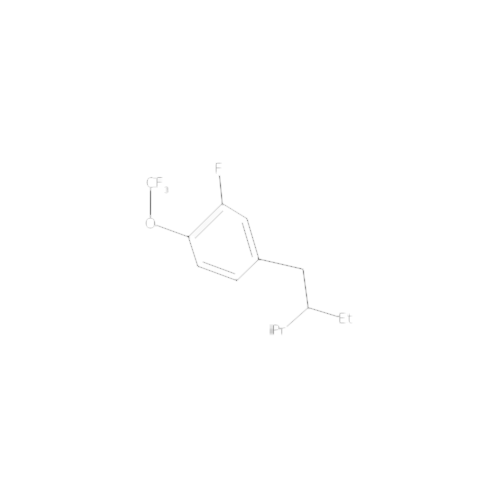 CCC(Cc1ccc(OC(F)(F)F)c(F)c1)C(C)C